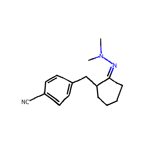 CN(C)/N=C1/CCCCC1Cc1ccc(C#N)cc1